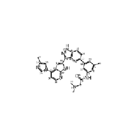 Cc1cc(NC(=O)CN(C)C)cc(-c2ccc3[nH]nc(-c4nc5c(-n6cnc(C)c6)ccnc5[nH]4)c3n2)c1